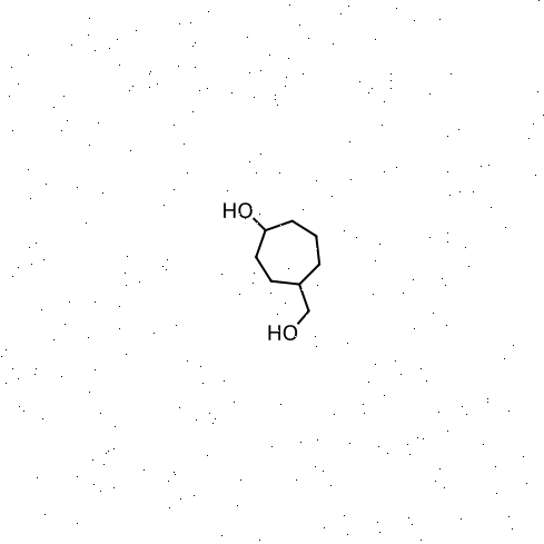 OCC1CCCC(O)CC1